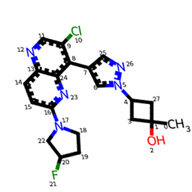 CC1(O)CC(n2cc(-c3c(Cl)cnc4ccc(N5CCC(F)C5)nc34)cn2)C1